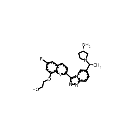 C[C@@H](c1ccc2nnc(-c3ccc4cc(F)cc(OCCO)c4n3)n2c1)N1CC[C@H](N)C1